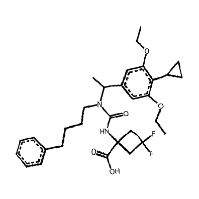 CCOc1cc(C(C)N(CCCCc2ccccc2)C(=O)NC2(C(=O)O)CC(F)(F)C2)cc(OCC)c1C1CC1